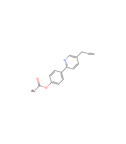 CCCCCCCCCCCc1ccc(-c2ccc(OC(=O)C(C)CC)cc2)nc1